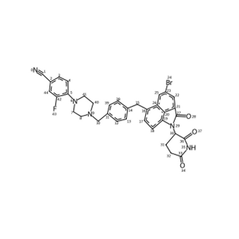 N#Cc1ccc(N2CCN(Cc3ccc(Cc4ccc5c6c(cc(Br)cc46)C(=O)N5C4CCC(=O)NC4=O)cc3)CC2)c(F)c1